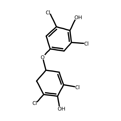 OC1=C(Cl)CC(Oc2cc(Cl)c(O)c(Cl)c2)C=C1Cl